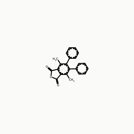 Cc1c2c(c(C)c(-c3ccccc3)c1-c1ccccc1)C(=O)OC2=O